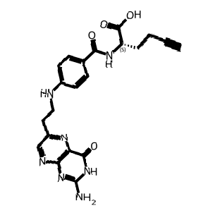 C#CCC[C@H](NC(=O)c1ccc(NCCc2cnc3nc(N)[nH]c(=O)c3n2)cc1)C(=O)O